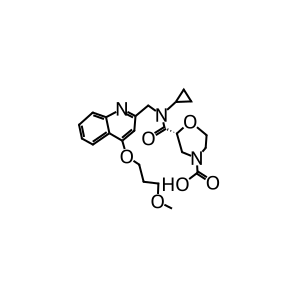 COCCCOc1cc(CN(C(=O)[C@H]2CN(C(=O)O)CCO2)C2CC2)nc2ccccc12